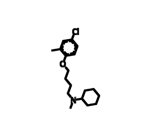 Cc1cc(Cl)ccc1OCCCCN(C)C1CCCCC1